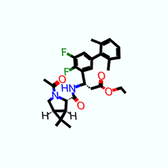 CCOC(=O)C[C@H](NC(=O)[C@@H]1[C@@H]2[C@H](CN1C(C)=O)C2(C)C)c1cc(-c2c(C)cccc2C)cc(F)c1F